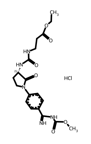 CCOC(=O)CCNC(=O)N[C@H]1CCN(c2ccc(C(=N)NC(=O)OC)cc2)C1=O.Cl